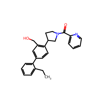 CCc1ccccc1-c1ccc(C2CCN(C(=O)c3ccccn3)C2)c(CO)c1